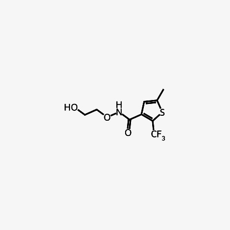 Cc1cc(C(=O)NOCCO)c(C(F)(F)F)s1